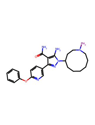 NC(=O)c1c(-c2ccc(Oc3ccccc3)nc2)nn(C2CCCCCCN(P)CC2)c1N